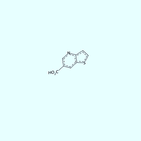 O=C(O)c1cnc2ccsc2c1